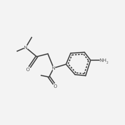 CC(=O)N(CC(=O)N(C)C)c1ccc(N)cc1